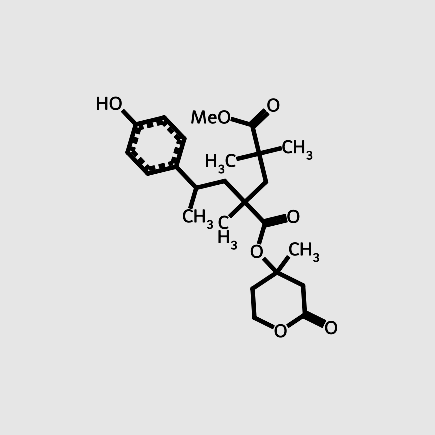 COC(=O)C(C)(C)CC(C)(CC(C)c1ccc(O)cc1)C(=O)OC1(C)CCOC(=O)C1